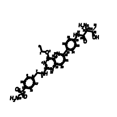 CCOc1nc(NCc2ccc(S(N)(=O)=O)cc2)nc2ccc(-c3ccc(NC(=O)[C@@H](N)[C@H](C)O)cc3)nc12